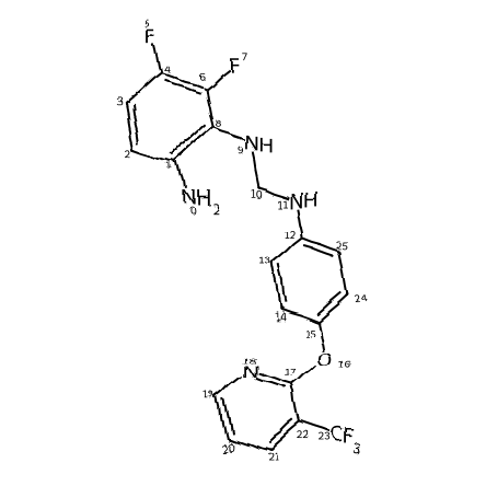 Nc1ccc(F)c(F)c1NCNc1ccc(Oc2ncccc2C(F)(F)F)cc1